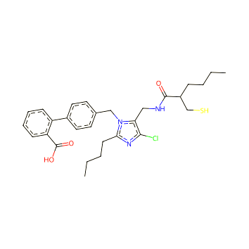 CCCCc1nc(Cl)c(CNC(=O)C(CS)CCCC)n1Cc1ccc(-c2ccccc2C(=O)O)cc1